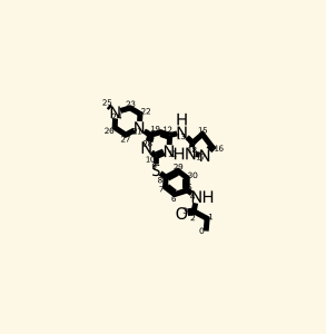 CCC(=O)Nc1ccc(Sc2nc(NC3CC=NN3)cc(N3CCN(C)CC3)n2)cc1